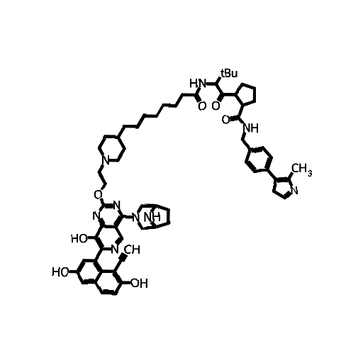 C#Cc1c(O)ccc2cc(O)cc(-c3ncc4c(N5CC6CCC(C5)N6)nc(OCCN5CCC(CCCCCCCC(=O)NC(C(=O)C6CCCC6C(=O)NCc6ccc(C7=C(C)N=CC7)cc6)C(C)(C)C)CC5)nc4c3O)c12